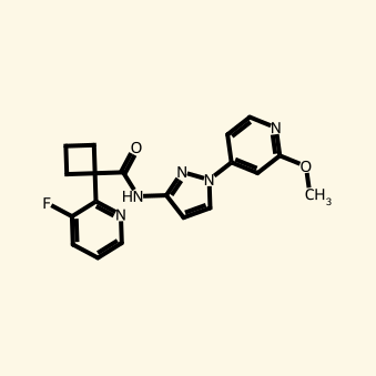 COc1cc(-n2ccc(NC(=O)C3(c4ncccc4F)CCC3)n2)ccn1